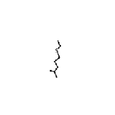 [CH2]CSCCCC(C)C